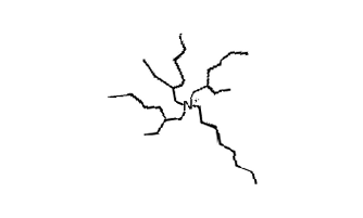 CCCCCCCC[N+](CC(CC)CCCC)(CC(CC)CCCC)CC(CC)CCCC